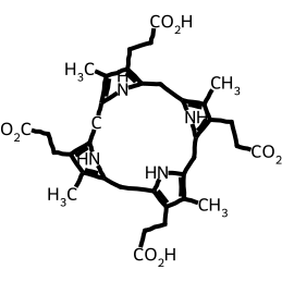 Cc1c2[nH]c(c1CCC(=O)O)Cc1[nH]c(c(CCC(=O)O)c1C)Cc1[nH]c(c(CCC(=O)O)c1C)Cc1[nH]c(c(CCC(=O)O)c1C)C2